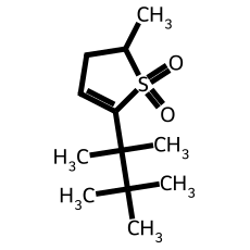 CC1CC=C(C(C)(C)C(C)(C)C)S1(=O)=O